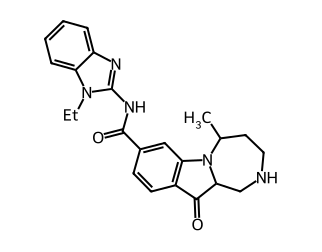 CCn1c(NC(=O)c2ccc3c(c2)N2C(C)CCNCC2C3=O)nc2ccccc21